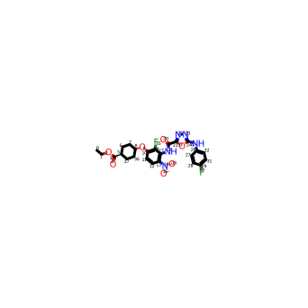 CCOC(=O)[C@H]1CC[C@@H](Oc2ccc([N+](=O)[O-])c(NC(=O)c3nnc(Nc4ccc(F)cc4)o3)c2F)CC1